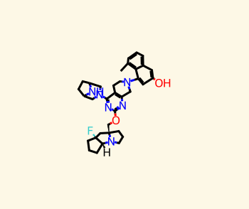 Cc1cccc2cc(O)cc(N3CCc4c(nc(OC[C@@]56CCCN5[C@@H]5CCC[C@]5(F)C6)nc4N4CC5CCC(C4)N5)C3)c12